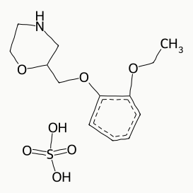 CCOc1ccccc1OCC1CNCCO1.O=S(=O)(O)O